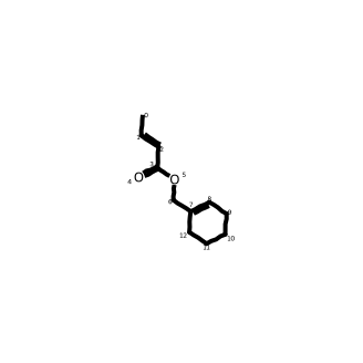 CC=CC(=O)OCC1=CCCCC1